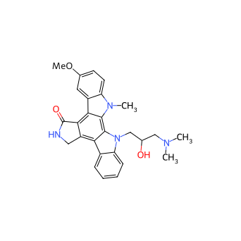 COc1ccc2c(c1)c1c3c(c4c5ccccc5n(CC(O)CN(C)C)c4c1n2C)CNC3=O